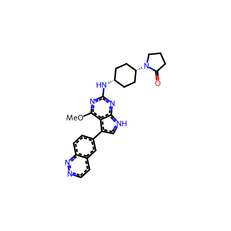 COc1nc(N[C@H]2CC[C@@H](N3CCCC3=O)CC2)nc2[nH]cc(-c3ccc4nnccc4c3)c12